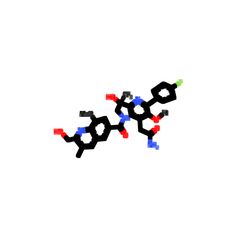 CCOc1c(CC(N)=O)cc([C@@](O)(CNC(=O)c2cc(OC)c3nc(CO)c(C)cc3c2)C(F)(F)F)nc1-c1ccc(F)cc1